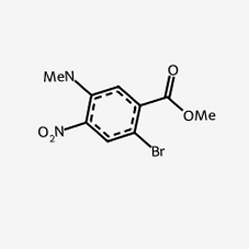 CNc1cc(C(=O)OC)c(Br)cc1[N+](=O)[O-]